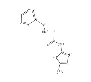 Cc1cnc(NC(=O)CNCc2ccccc2)s1